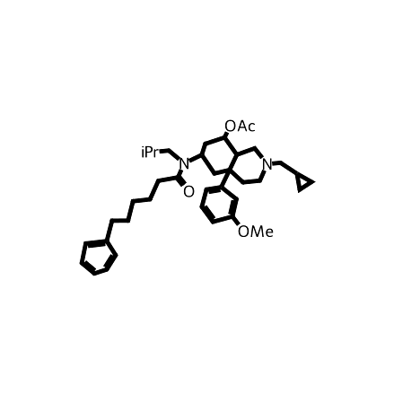 COc1cccc(C23CCN(CC4CC4)CC2C(OC(C)=O)CC(N(CC(C)C)C(=O)CCCCCc2ccccc2)C3)c1